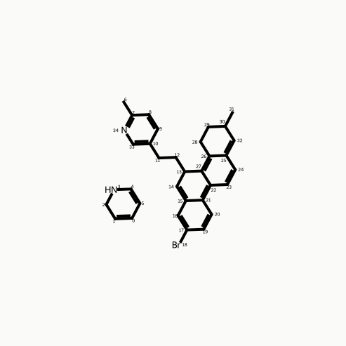 C1=CCNC=C1.Cc1ccc(CCC2C=c3cc(Br)ccc3=c3ccc4c(c32)CCC(C)C=4)cn1